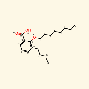 CCCCCCCCOc1c(CCCC)cccc1C(=O)O